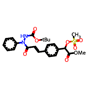 COC(=O)C(OS(C)(=O)=O)c1ccc(C=CC(=O)N(NC(=O)OC(C)(C)C)c2ccccc2)cc1